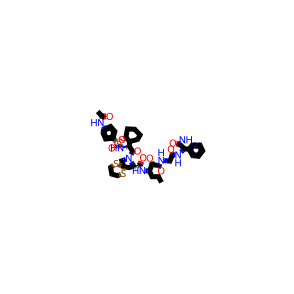 CCCC(NC(=O)[C@@H]1CC2(CN1C(=O)[C@@H](NS(=O)(=O)c1ccc(NC(C)=O)cc1)C1CCCCC1)SCCCS2)C(=O)C(=O)NCC(=O)NC(C(N)=O)c1ccccc1